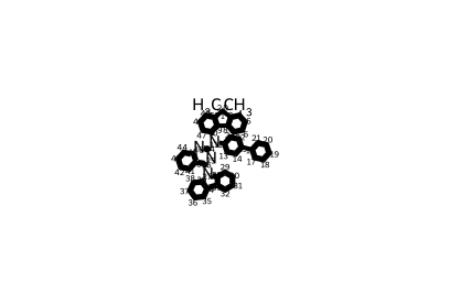 CC1(C)c2ccccc2-c2c(N(c3ccc(-c4ccccc4)cc3)c3nc(-n4c5ccccc5c5ccccc54)c4ccccc4n3)cccc21